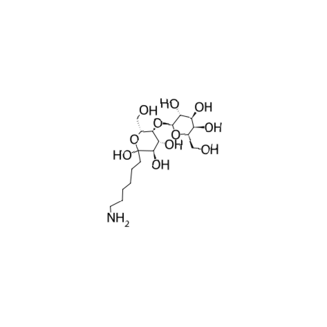 NCCCCCCC1(O)O[C@H](CO)[C@@H](O[C@@H]2O[C@H](CO)[C@H](O)[C@H](O)[C@H]2O)[C@H](O)[C@H]1O